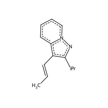 CC=Cc1c(C(C)C)nn2ccccc12